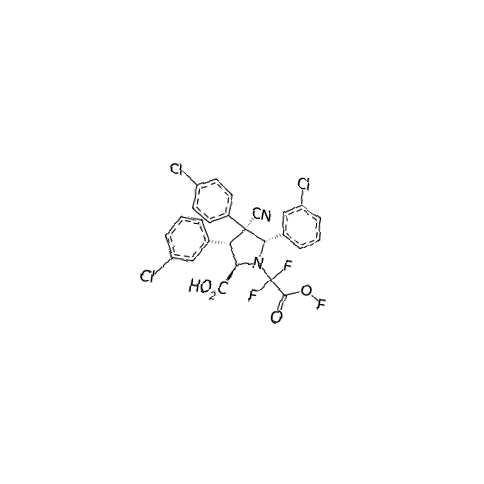 N#C[C@]1(c2ccc(Cl)cc2)[C@H](c2cccc(Cl)c2)N(C(F)(F)C(=O)OF)[C@@H](C(=O)O)[C@@H]1c1cccc(Cl)c1